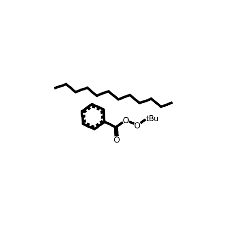 CC(C)(C)OOC(=O)c1ccccc1.CCCCCCCCCCCC